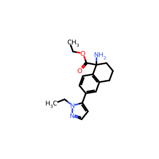 CCOC(=O)C1(N)CCCc2cc(-c3ccnn3CC)ccc21